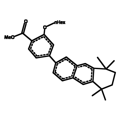 CCCCCCOc1cc(-c2ccc3cc4c(cc3c2)C(C)(C)CCC4(C)C)ccc1C(=O)OC